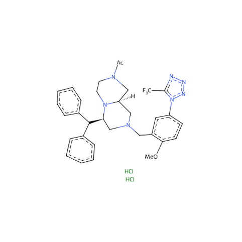 COc1ccc(-n2nnnc2C(F)(F)F)cc1CN1C[C@@H]2CN(C(C)=O)CCN2[C@H](C(c2ccccc2)c2ccccc2)C1.Cl.Cl